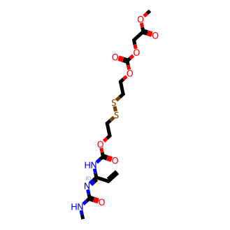 C=C/C(=N\C(=O)NC)NC(=O)OCCSSCCOC(=O)OCC(=O)OC